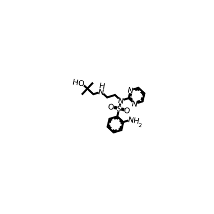 CC(C)(O)CNCCN(c1ncccn1)S(=O)(=O)c1ccccc1N